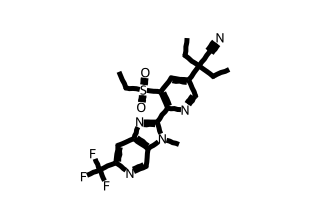 CCC(C#N)(CC)c1cnc(-c2nc3cc(C(F)(F)F)ncc3n2C)c(S(=O)(=O)CC)c1